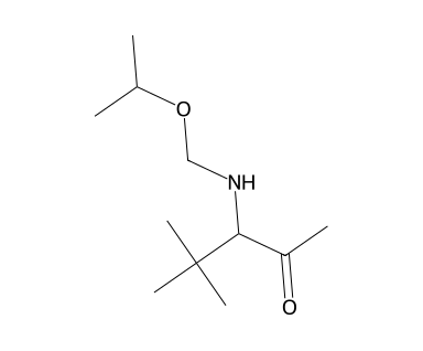 CC(=O)C(NCOC(C)C)C(C)(C)C